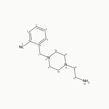 N#Cc1ccccc1CN1CCN(CCN)CC1